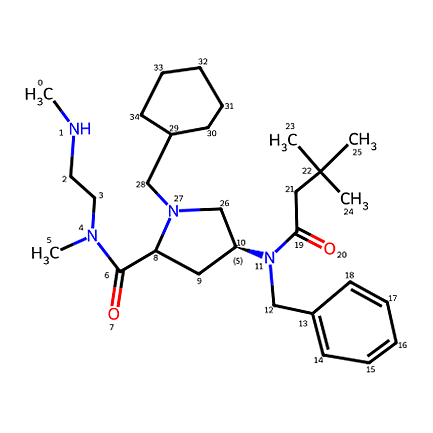 CNCCN(C)C(=O)C1C[C@H](N(Cc2ccccc2)C(=O)CC(C)(C)C)CN1CC1CCCCC1